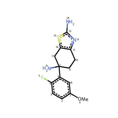 COc1ccc(F)c(C2(N)CCc3nc(N)sc3C2)c1